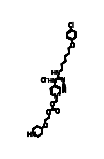 N#CN=C(NCCCCCCOc1ccc(Cl)cc1)Nc1cc[n+](COC(=O)OCCOC2CCNCC2)cc1.[Cl-]